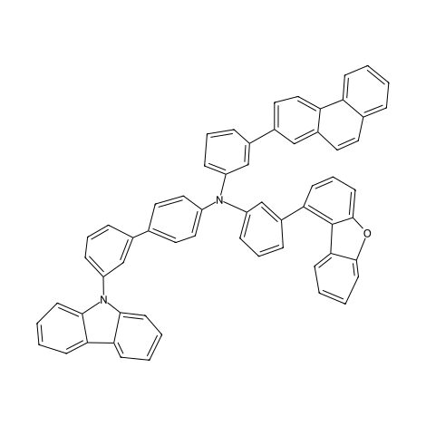 c1cc(-c2ccc3c(ccc4ccccc43)c2)cc(N(c2ccc(-c3cccc(-n4c5ccccc5c5ccccc54)c3)cc2)c2cccc(-c3cccc4oc5ccccc5c34)c2)c1